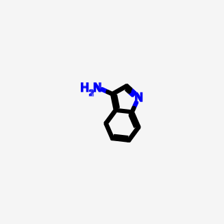 NC1=C2CC=CC=C2N=C1